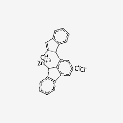 CC1=Cc2ccccc2C1c1cccc2c1[CH]([Zr+2])c1ccccc1-2.[Cl-].[Cl-]